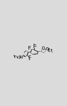 CCCCc1ccc(-c2ccc(C3CCC(OCC)OC3)c(F)c2F)c(F)c1